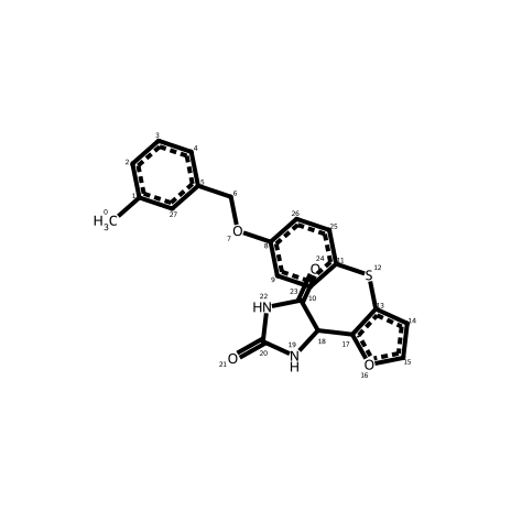 Cc1cccc(COc2ccc(Sc3ccoc3C3NC(=O)NC3=O)cc2)c1